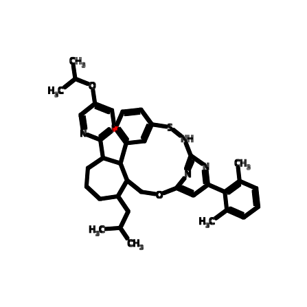 Cc1cccc(C)c1-c1cc2nc(n1)NSc1cccc(c1)C1C(c3ncc(OC(C)C)cn3)CCCC(CC(C)C)C1CO2